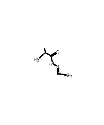 CC(C)/C=N/NC(=O)C(C)S